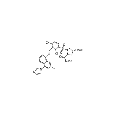 CNC(=O)C1CC(OC)CN1S(=O)(=O)c1ccc(Cl)c(COc2cccc3c(-n4ccnc4)cc(C)nc23)c1Cl